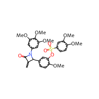 C=C1C(=O)N(c2cc(OC)c(OC)c(OC)c2)C1c1ccc(OC)c(OS(=O)(=O)c2ccc(OC)c(OC)c2)c1